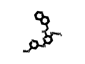 COc1cncc(Nc2ccc(NN)c(NCc3ccc4ncccc4c3)n2)c1